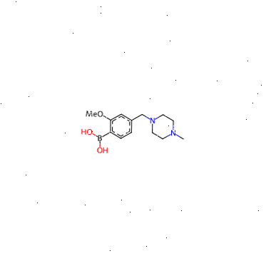 COc1cc(CN2CCN(C)CC2)ccc1B(O)O